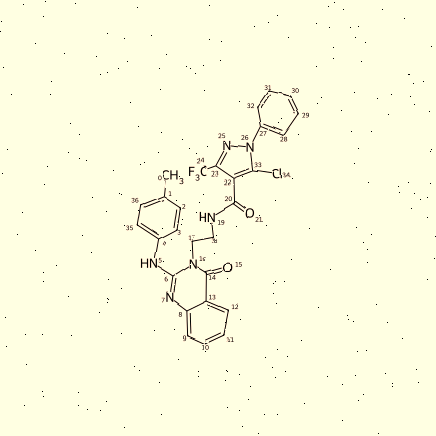 Cc1ccc(Nc2nc3ccccc3c(=O)n2CCNC(=O)c2c(C(F)(F)F)nn(-c3ccccc3)c2Cl)cc1